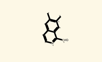 Cc1cc2ccnc(C=O)c2cc1C